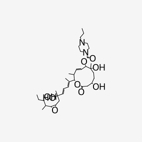 CCCN1CCN(C(=O)OC2/C=C/C(C)C(/C(C)=C/C=C/C(C)(O)CC3OC3C(C)C(O)CC)OC(=O)CC(O)CCC2(C)O)CC1